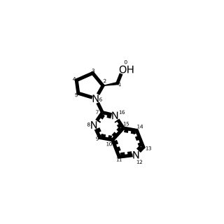 OC[C@@H]1CCCN1c1ncc2cnccc2n1